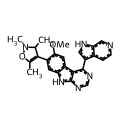 COc1cc2c(cc1C1=C(C)ON(C)C1C)[nH]c1ncnc(-c3c[nH]c4cnccc34)c12